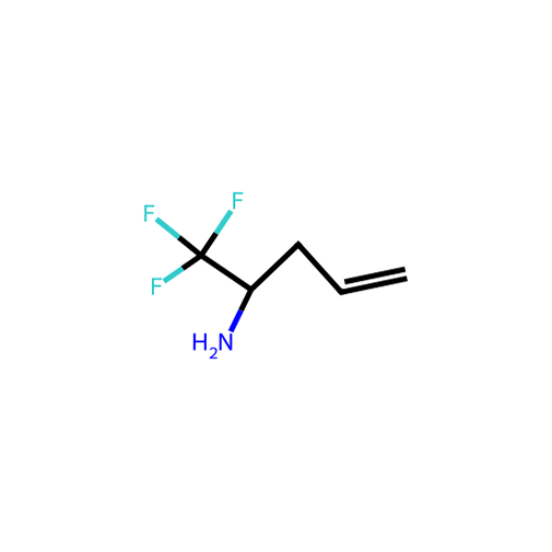 C=CCC(N)C(F)(F)F